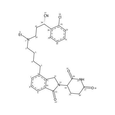 CCN(CCCCc1cccc2c1CN(C1CCC(=O)NC1=O)C2=O)CC[C@H](C#N)c1ccccc1Cl